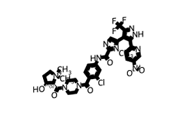 Cn1c(-c2c(C(F)(F)F)n[nH]c2-c2ccc([N+](=O)[O-])cn2)cnc1C(=O)Nc1ccc(C(=O)N2CCN(C(=O)[C@@H]3[C@@H](O)CC[N+]3(C)C)CC2)c(Cl)c1